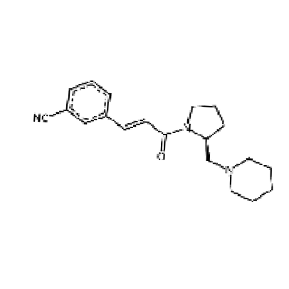 N#Cc1cccc(/C=C/C(=O)N2CCC[C@H]2CN2CCCCC2)c1